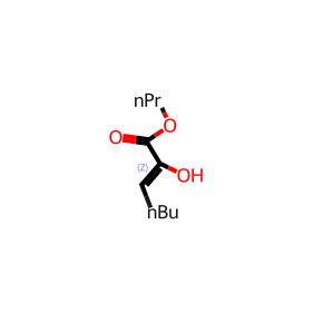 CCCC/C=C(\O)C(=O)OCCC